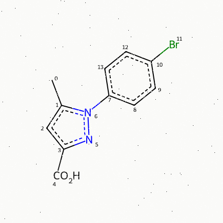 Cc1cc(C(=O)O)nn1-c1ccc(Br)cc1